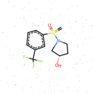 C=S(=O)(c1cccc(C(F)(F)F)c1)N1CC[C@H](O)C1